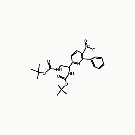 CC(C)(C)OC(=O)NCC(NC(=O)OC(C)(C)C)c1ccc([N+](=O)[O-])c(-c2ccccc2)n1